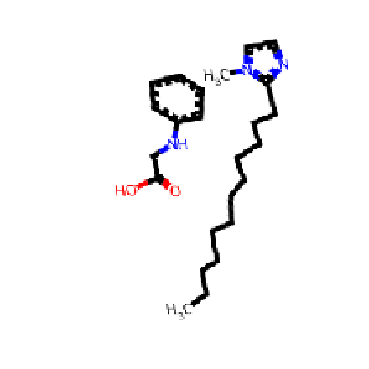 CCCCCCCCCCCCc1nccn1C.O=C(O)CNc1ccccc1